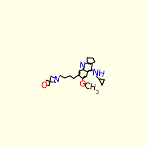 COc1cc2c(NCC3CC3)c3c(nc2cc1CCCCN1CC2(COC2)C1)CCC3